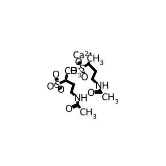 CC(=O)NCCC(C)S(=O)(=O)[O-].CC(=O)NCCC(C)S(=O)(=O)[O-].[Ca+2]